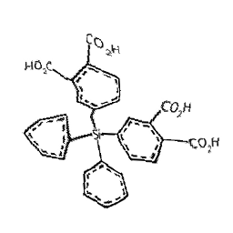 O=C(O)c1ccc([Si](c2ccccc2)(c2ccccc2)c2ccc(C(=O)O)c(C(=O)O)c2)cc1C(=O)O